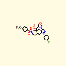 O=S(=O)(c1ccc(C(F)(F)F)cc1)N1CCC2=Cc3c(cnn3-c3ccc(F)cc3)C[C@]2([C@@H](O)c2cocn2)C1